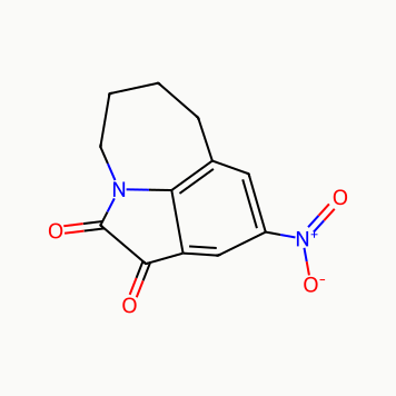 O=C1C(=O)N2CCCCc3cc([N+](=O)[O-])cc1c32